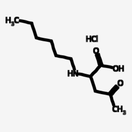 CCCCCCNC(CC(C)=O)C(=O)O.Cl